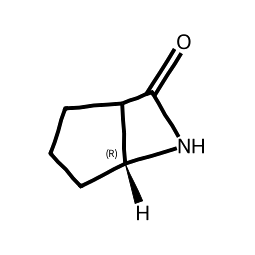 O=C1N[C@@H]2CCCC12